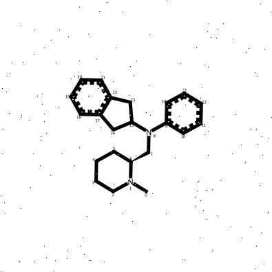 CN1CCCC[C@H]1CN(c1ccccc1)C1Cc2ccccc2C1